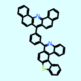 c1cc(-c2c3ccc4ccccc4c3nc3c2ccc2ccccc23)cc(-c2nc3ccccc3c3c2ccc2sc4ccccc4c23)c1